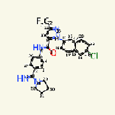 N=C(c1ccc(NC(=O)c2cc(C(F)(F)F)nn2-c2ccc3cc(Cl)ccc3c2)cc1)N1CCCC1